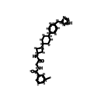 Cc1cccc(C(=O)NCC(=O)NC2CN(C3CCC(c4ccc(Cc5nn[nH]n5)cc4)CC3)C2)c1